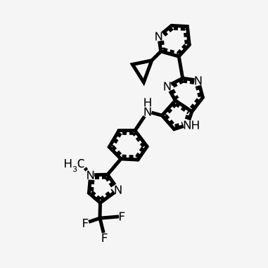 Cn1cc(C(F)(F)F)nc1-c1ccc(Nc2c[nH]c3cnc(-c4cccnc4C4CC4)nc23)cc1